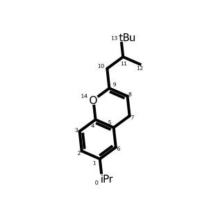 CC(C)c1ccc2c(c1)CC=C(CC(C)C(C)(C)C)O2